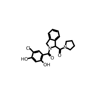 O=C(C1c2ccccc2CN1C(=O)c1cc(Cl)c(O)cc1O)N1CCCC1